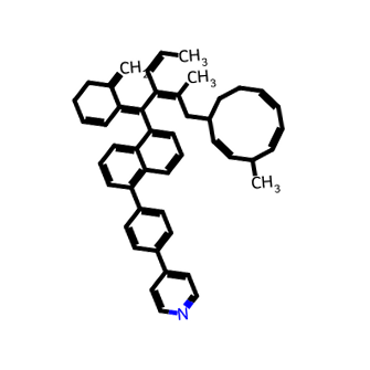 C=C1CCC=C/C1=C(C(/C=C\C)=C(/C)CC1/C=C\C(C)/C=C\C=C/CC1)\c1cccc2c(-c3ccc(-c4ccncc4)cc3)cccc12